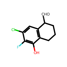 O=CC1CCCc2c1cc(Cl)c(F)c2O